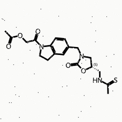 CC(=O)OCC(=O)N1CCc2cc(CN3C[C@H](CNC(C)=S)OC3=O)ccc21